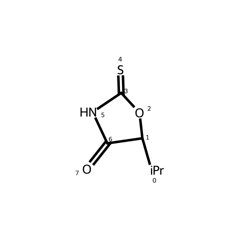 CC(C)C1OC(=S)NC1=O